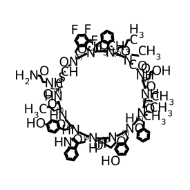 CCCC[C@H]1C(=O)N(CCC)CC(=O)N[C@@H](CC(=O)O)C(=O)N[C@@H](C(C)C)C(=O)N(C)[C@@H](Cc2ccccc2)C(=O)N[C@@H](Cc2ccc(O)cc2)C(=O)N2CCC[C@@H]2C(=O)N[C@@H](Cc2c[nH]c3ccccc23)C(=O)N[C@@H](Cc2ccc(O)cc2)C(=O)N[C@@H](CCC)C(=O)N[C@H](C(=O)NCC(N)=O)CSCC(=O)N[C@@H](Cc2cc(F)c(F)c(F)c2)C(=O)N(C)C(Cc2ccccc2)C(=O)N1C